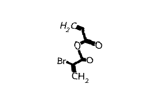 C=CC(=O)OC(=O)C(=C)Br